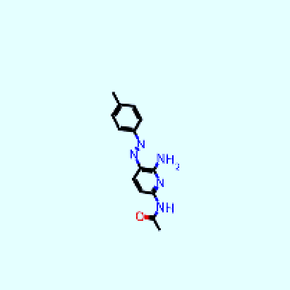 CC(=O)Nc1ccc(/N=N/c2ccc(C)cc2)c(N)n1